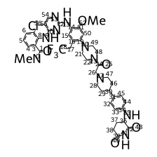 CNC(=O)c1ccccc1Nc1nc(Nc2cc(CC(F)(F)F)c(N3CCN(C(=O)CN4CCC(c5ccc(NC6CCC(=O)NC6=O)cc5)CC4)CC3)cc2OC)ncc1Cl